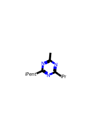 CCCC(C)c1nc(C)nc(C(C)C)n1